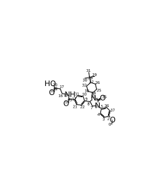 COc1ccc(N2CC(c3ccc(C(=O)NCCC(=O)O)cc3)N(C3CCC(C(C)(C)C)CC3)C2=O)cc1